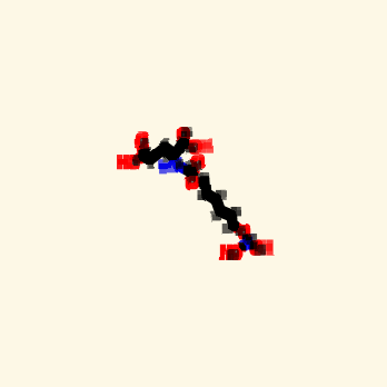 O=C(O)CCC(NC(=O)OCCCCCCON(O)O)C(=O)O